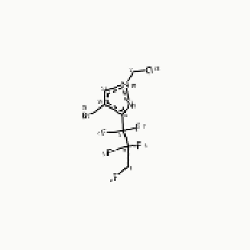 FCC(F)(F)C(F)(F)c1nn(CCl)cc1Br